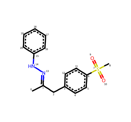 CC(Cc1ccc(S(C)(=O)=O)cc1)=NNc1ccccc1